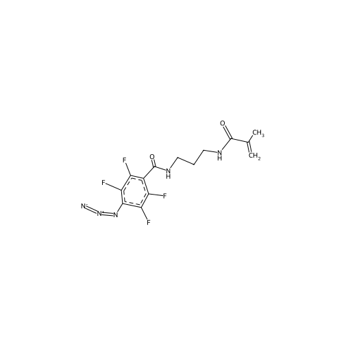 C=C(C)C(=O)NCCCNC(=O)c1c(F)c(F)c(N=[N+]=[N-])c(F)c1F